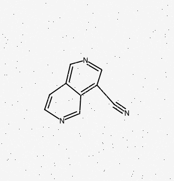 N#Cc1cncc2ccncc12